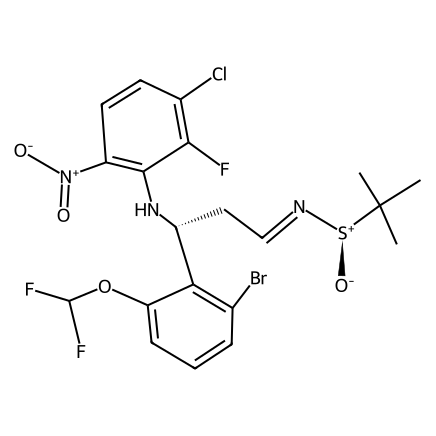 CC(C)(C)[S@@+]([O-])N=CC[C@@H](Nc1c([N+](=O)[O-])ccc(Cl)c1F)c1c(Br)cccc1OC(F)F